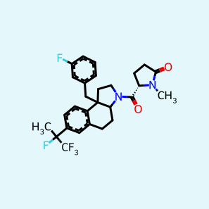 CN1C(=O)CC[C@H]1C(=O)N1CCC2(Cc3cccc(F)c3)c3ccc(C(C)(F)C(F)(F)F)cc3CCC12